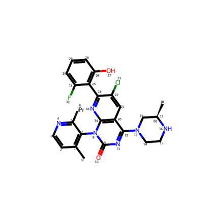 Cc1ccnc(C(C)C)c1-n1c(=O)nc(N2CCN[C@H](C)C2)c2cc(Cl)c(-c3c(O)cccc3F)nc21